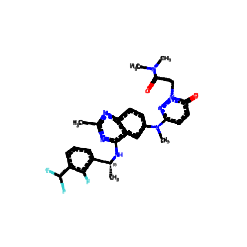 Cc1nc(N[C@H](C)c2cccc(C(F)F)c2F)c2cc(N(C)c3ccc(=O)n(CC(=O)N(C)C)n3)ccc2n1